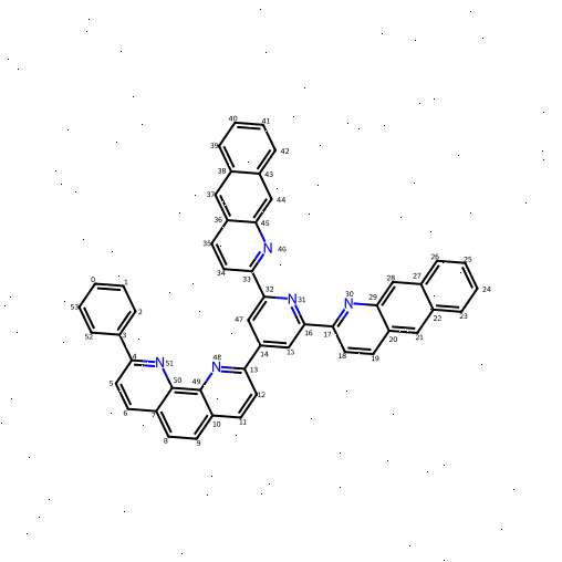 c1ccc(-c2ccc3ccc4ccc(-c5cc(-c6ccc7cc8ccccc8cc7n6)nc(-c6ccc7cc8ccccc8cc7n6)c5)nc4c3n2)cc1